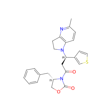 Cc1ccc2c(n1)CCN2[C@H](CC(=O)N1C(=O)OC[C@@H]1Cc1ccccc1)c1ccsc1